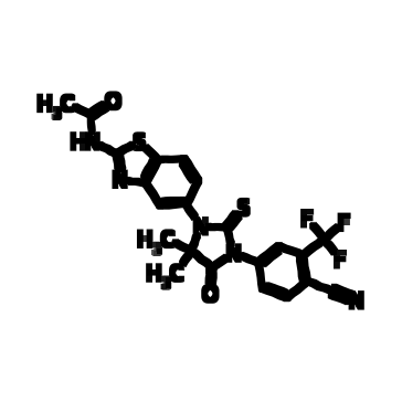 CC(=O)Nc1nc2cc(N3C(=S)N(c4ccc(C#N)c(C(F)(F)F)c4)C(=O)C3(C)C)ccc2s1